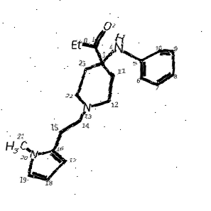 CCC(=O)C1(Nc2ccccc2)CCN(CCc2cccn2C)CC1